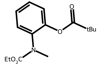 CCOC(=O)N(C)c1ccccc1OC(=O)C(C)(C)C